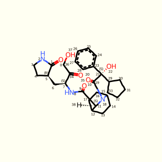 O=C1NCC[C@@H]1C[C@H](NC(=O)[C@@H]1C2CCC(CC2)N1C(=O)[C@@](O)(c1ccccc1)C1CCCC1)C(=O)CO